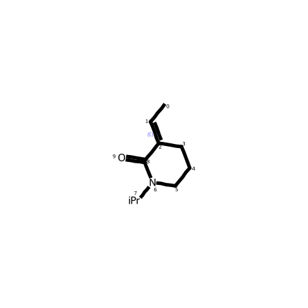 C/C=C1\CCCN(C(C)C)C1=O